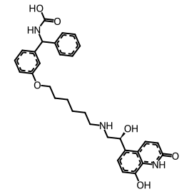 O=C(O)NC(c1ccccc1)c1cccc(OCCCCCCNC[C@@H](O)c2ccc(O)c3[nH]c(=O)ccc23)c1